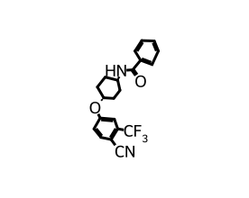 N#Cc1ccc(O[C@H]2CC[C@H](NC(=O)c3ccccc3)CC2)cc1C(F)(F)F